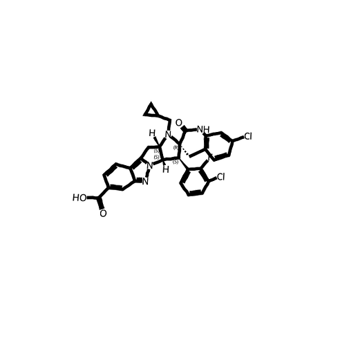 O=C(O)c1ccc2c3n(nc2c1)[C@@H]1[C@H](C3)N(CC2CC2)[C@]2(Cc3ccc(Cl)cc3NC2=O)[C@H]1c1cccc(Cl)c1F